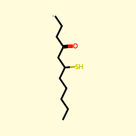 [CH2]CCC(=O)CC(S)CCCCC